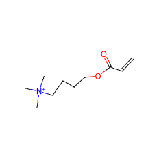 C=CC(=O)OCCCC[N+](C)(C)C